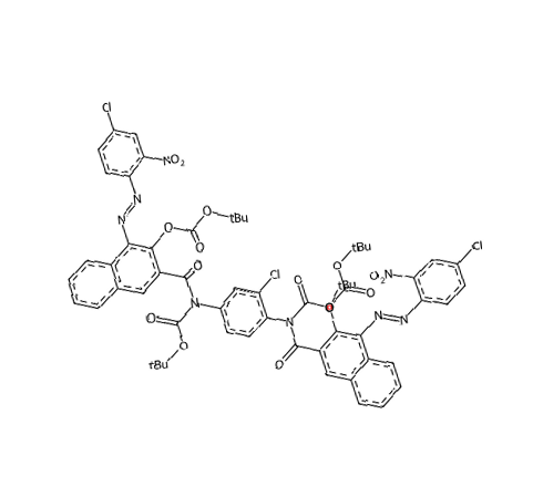 CC(C)(C)OC(=O)Oc1c(C(=O)N(C(=O)OC(C)(C)C)c2ccc(N(C(=O)OC(C)(C)C)C(=O)c3cc4ccccc4c(/N=N/c4ccc(Cl)cc4[N+](=O)[O-])c3OC(=O)OC(C)(C)C)c(Cl)c2)cc2ccccc2c1/N=N/c1ccc(Cl)cc1[N+](=O)[O-]